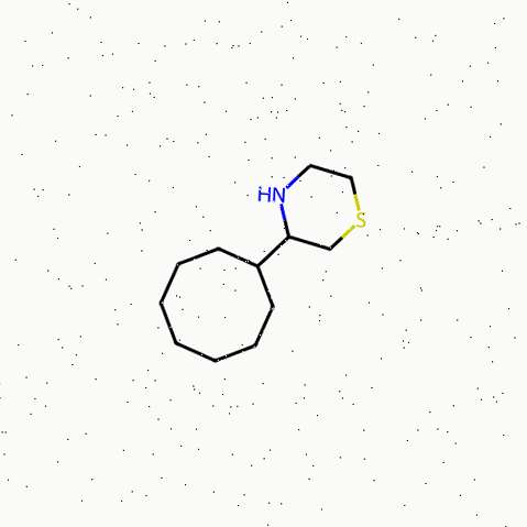 C1CCCC(C2CSCCN2)CCC1